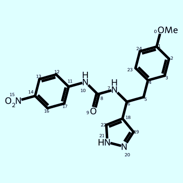 COc1ccc(CC(NC(=O)Nc2ccc([N+](=O)[O-])cc2)c2cn[nH]c2)cc1